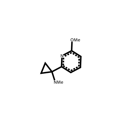 CNC1(c2cccc(OC)n2)CC1